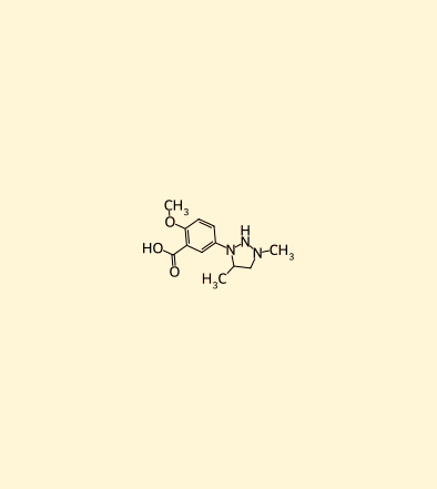 COc1ccc(N2NN(C)CC2C)cc1C(=O)O